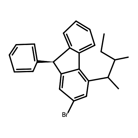 CCC(C)C(C)c1cc(Br)cc2c1-c1ccccc1[C@@H]2c1ccccc1